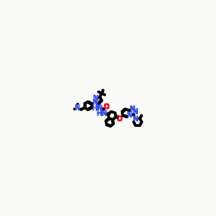 CC1CCCCN1c1nnc2ccc(O[C@@H]3CC[C@H](NC(=O)Nc4cc(C(C)(C)C)nn4-c4ccc(CN(C)C)cc4)c4ccccc43)cn12